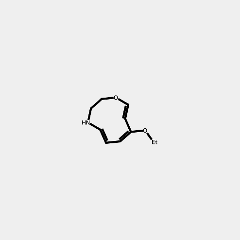 CCOC1=C/C=C/NCCO\C=C\1